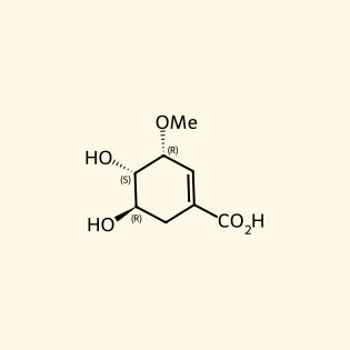 CO[C@@H]1C=C(C(=O)O)C[C@@H](O)[C@@H]1O